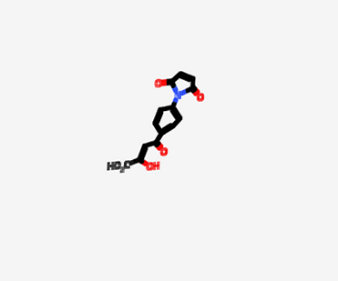 O=C(O)/C(O)=C/C(=O)c1ccc(N2C(=O)C=CC2=O)cc1